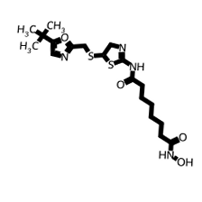 CC(C)(C)c1cnc(CSC2CN=C(NC(=O)CCCCCCC(=O)NO)S2)o1